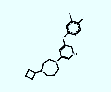 Clc1ccc(OC2=CC(N3CCCN(C4CCC4)CC3)=[C]NC2)cc1Cl